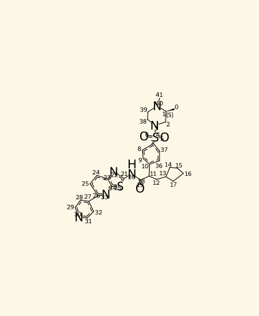 C[C@H]1CN(S(=O)(=O)c2ccc(C(CC3CCCC3)C(=O)Nc3nc4ccc(-c5ccncc5)nc4s3)cc2)CCN1C